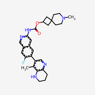 Cc1c(-c2cc3cc(NC(=O)OC4CC5(CCN(C)CC5)C4)ncc3cc2F)cnc2c1NCCC2